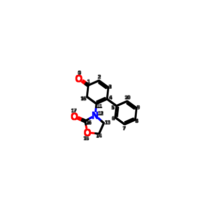 O=C1C=CC(c2ccccc2)=C(N2CCOC2=O)C1